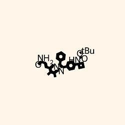 Cc1c(/C=C/C(N)=O)cn2c(-c3ccccc3)c(-c3ccc(C4(NC(=O)OC(C)(C)C)CCC4)cc3)nc2c1C